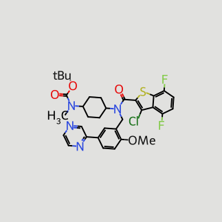 COc1ccc(-c2cnccn2)cc1CN(C(=O)c1sc2c(F)ccc(F)c2c1Cl)C1CCC(N(C)C(=O)OC(C)(C)C)CC1